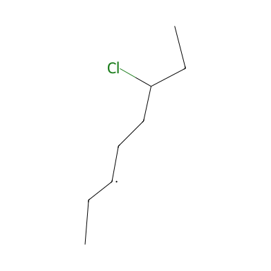 CC[CH]CCC(Cl)CC